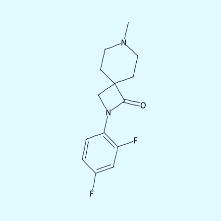 CN1CCC2(CC1)CN(c1ccc(F)cc1F)C2=O